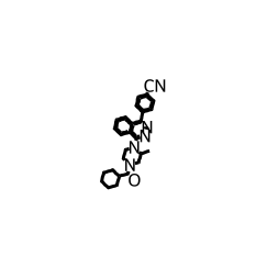 CC1CN(C(=O)C2CCCCC2)CCN1c1nnc(-c2ccc(C#N)cc2)c2ccccc12